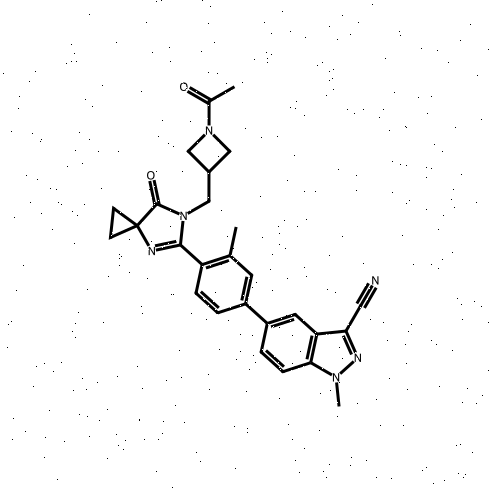 CC(=O)N1CC(CN2C(=O)C3(CC3)N=C2c2ccc(-c3ccc4c(c3)c(C#N)nn4C)cc2C)C1